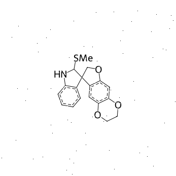 CSC1Nc2ccccc2C12COc1cc3c(cc12)OCCO3